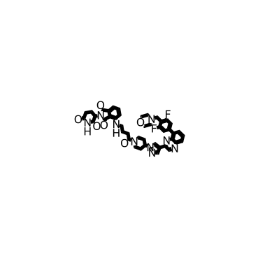 O=C1CCC(N2C(=O)c3cccc(NCCCC(=O)N4CCC(n5cc(-c6cnc7cccc(-c8cc(F)c(CN9CCOCC9)c(F)c8)c7n6)cn5)CC4)c3C2=O)C(=O)N1